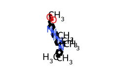 COC(=O)Cc1ccc(N2CCN(c3ccc4c(n3)C(C)(C)CN4C3CCC(C)(C)CC3)C(C)C2)nc1